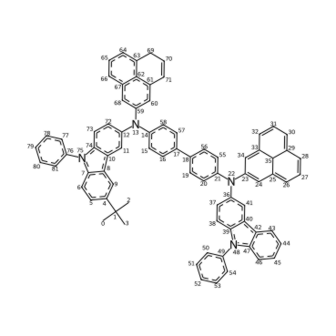 CC(C)(C)c1ccc2c(c1)c1cc(N(c3ccc(-c4ccc(N(C5=CC6=CC=CC7=CC=CC(=C5)C76)c5ccc6c(c5)c5ccccc5n6-c5ccccc5)cc4)cc3)c3cc4c5c(cccc5c3)CC=C4)ccc1n2-c1ccccc1